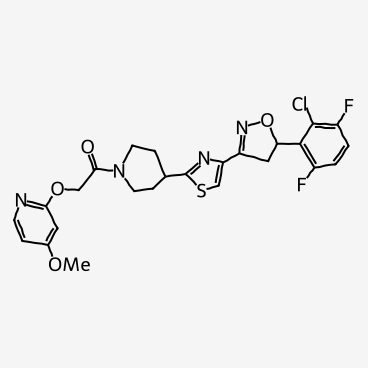 COc1ccnc(OCC(=O)N2CCC(c3nc(C4=NOC(c5c(F)ccc(F)c5Cl)C4)cs3)CC2)c1